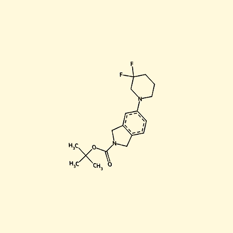 CC(C)(C)OC(=O)N1Cc2ccc(N3CCCC(F)(F)C3)cc2C1